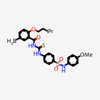 Bc1ccc(OCCC(C)C)c(C(=O)NC(=S)Nc2ccc(S(=O)(=O)Nc3ccc(OC)cc3)cc2)c1